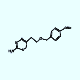 COc1ccc(COCCC2=NN=C(N)SC2)cc1